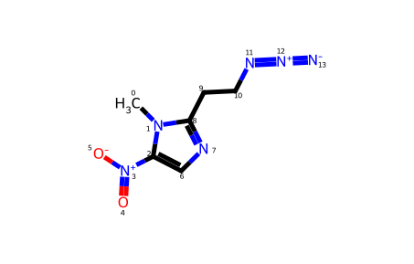 Cn1c([N+](=O)[O-])cnc1CCN=[N+]=[N-]